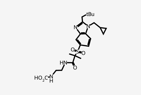 CC(C)(C)Cc1nc2cc(S(=O)(=O)C(C)(C)C(=O)NCCNC(=O)O)ccc2n1CC1CC1